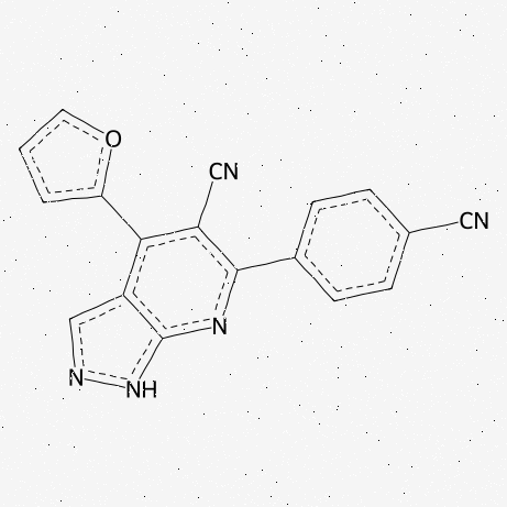 N#Cc1ccc(-c2nc3[nH]ncc3c(-c3ccco3)c2C#N)cc1